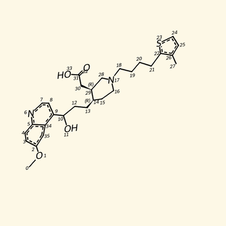 COc1ccc2nccc(C(O)CC[C@@H]3CCN(CCCCc4sccc4C)C[C@@H]3CC(=O)O)c2c1